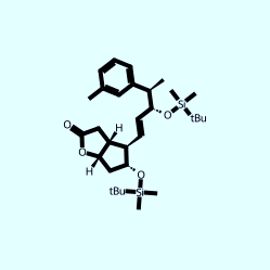 Cc1cccc([C@@H](C)[C@@H](/C=C/[C@@H]2[C@H]3CC(=O)O[C@H]3C[C@H]2O[Si](C)(C)C(C)(C)C)O[Si](C)(C)C(C)(C)C)c1